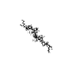 CCCCC(CC)COC(=O)c1cccc(/N=N/c2c(C(C)(C)C)nn(-c3ncnc(-n4nc(C(C)(C)C)c(/N=N/c5cccc(C(=O)OCC(CC)CCCC)c5)c4N)n3)c2N)c1